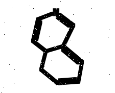 C1=CCC2C=CN=CC2=C1